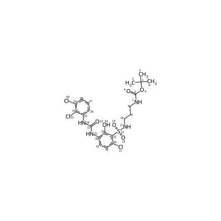 CC(C)(C)OC(=O)NCCCNS(=O)(=O)c1c(Cl)ccc(NC(=O)Nc2cccc(Cl)c2Cl)c1O